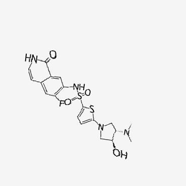 CN(C)[C@H]1CN(c2ccc(S(=O)(=O)Nc3cc4c(=O)[nH]ccc4cc3F)s2)C[C@@H]1O